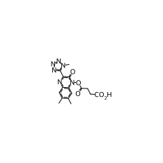 Cc1cc2nc(-c3nnnn3C)c(=O)n(OC(=O)CCC(=O)O)c2cc1C